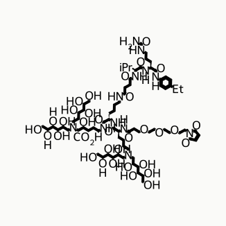 CCc1ccc(NC(=O)[C@H](CCCNC(N)=O)NC(=O)[C@@H](NC(=O)CCC(=O)NCCCC[C@H](NC(=O)[C@H](CCCCN(C[C@H](O)[C@@H](O)[C@H](O)[C@H](O)CO)C[C@H](O)[C@@H](O)[C@H](O)[C@H](O)CO)NC(=O)CCOCCOCCOCCN2C(=O)C=CC2=O)C(=O)N[C@@H](CCCCN(C[C@H](O)[C@@H](O)[C@H](O)[C@H](O)CO)C[C@H](O)[C@@H](O)[C@H](O)[C@H](O)CO)C(=O)O)C(C)C)cc1